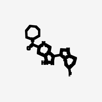 O=C(c1cc2[nH]nc(-c3cnc4ccc(F)cn34)c2cn1)N1CCCCCC1